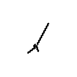 CCCCCCCCCCCCCCCCCCCN1C=CN(CCCCCCC)C1CCCC